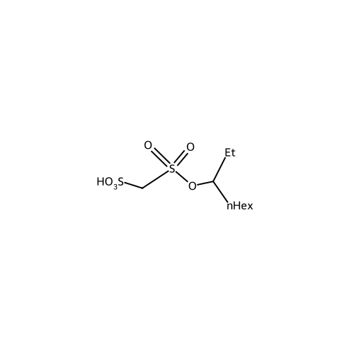 CCCCCCC(CC)OS(=O)(=O)CS(=O)(=O)O